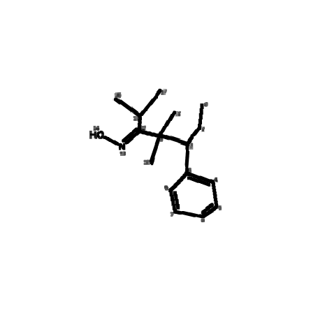 CCC(c1ccccc1)C(C)(C)/C(=N/O)C(C)C